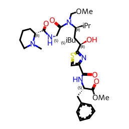 CC[C@H](C)[C@H](NC(=O)[C@H]1CCCCN1C)C(=O)N(COC)[C@H](C[C@@H](O)c1nc(C(=O)N[C@@H](Cc2ccccc2)C(=O)OC)cs1)C(C)C